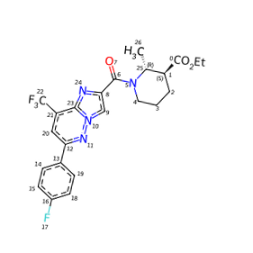 CCOC(=O)[C@H]1CCCN(C(=O)c2cn3nc(-c4ccc(F)cc4)cc(C(F)(F)F)c3n2)[C@@H]1C